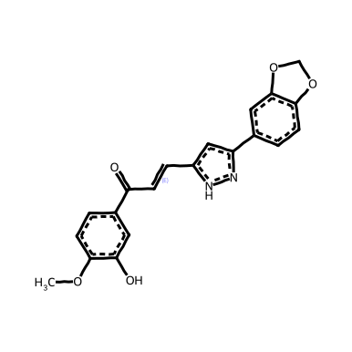 COc1ccc(C(=O)/C=C/c2cc(-c3ccc4c(c3)OCO4)n[nH]2)cc1O